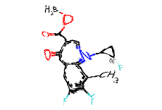 BOC(=O)c1cn(C2C[C@@H]2F)c2c(C)c(F)c(F)cc2c1=O